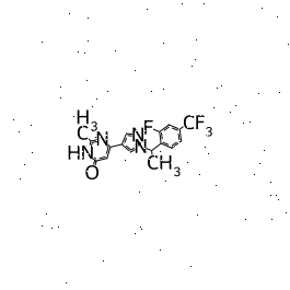 Cc1nc(-c2cnn(C(C)c3ccc(C(F)(F)F)cc3F)c2)cc(=O)[nH]1